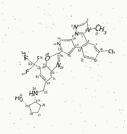 Cn1cnnc1-c1cc(Cl)ccc1-c1ccnc(-c2nc3cc(CN[C@@H]4CCC[C@@H]4O)cc(C(F)(F)F)c3o2)c1